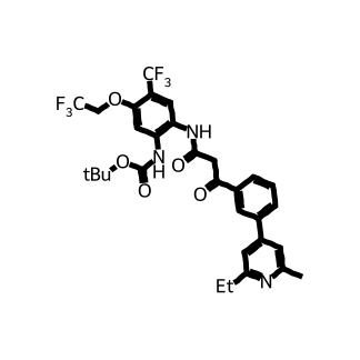 CCc1cc(-c2cccc(C(=O)CC(=O)Nc3cc(C(F)(F)F)c(OCC(F)(F)F)cc3NC(=O)OC(C)(C)C)c2)cc(C)n1